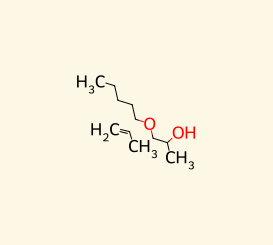 C=CC.CCCCCOCC(C)O